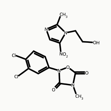 Cc1ncc([N+](=O)[O-])n1CCO.Cn1c(=O)on(-c2ccc(Cl)c(Cl)c2)c1=O